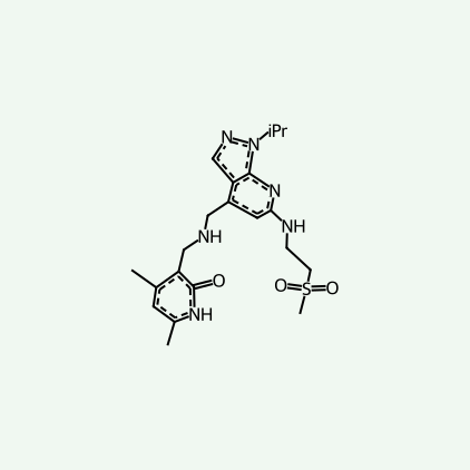 Cc1cc(C)c(CNCc2cc(NCCS(C)(=O)=O)nc3c2cnn3C(C)C)c(=O)[nH]1